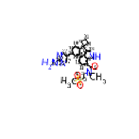 CN(CCS(C)(=O)=O)C(=O)c1cccc2c(C3(c4ccc(-c5cnc(N)nc5)cc4)CCC3)c[nH]c12